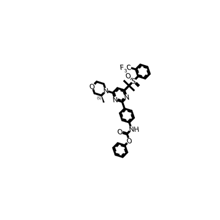 C=S(=O)(c1ccccc1C(F)(F)F)C(C)(C)c1cc(N2CCOC[C@@H]2C)nc(-c2ccc(NC(=O)Oc3ccccc3)cc2)n1